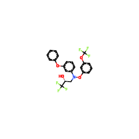 O[C@H](CN(Oc1cccc(OC(F)(F)F)c1)c1cccc(Oc2ccccc2)c1)C(F)(F)F